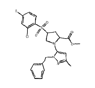 COC(=O)C1CC(S(=O)(=O)c2ccc(F)cc2Cl)CN1c1cc(C)nn1Cc1ccccc1